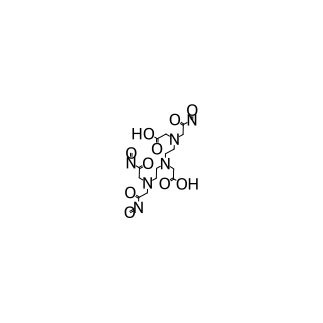 O=NC(=O)CN(CCN(CCN(CC(=O)N=O)CC(=O)N=O)CC(=O)O)CC(=O)O